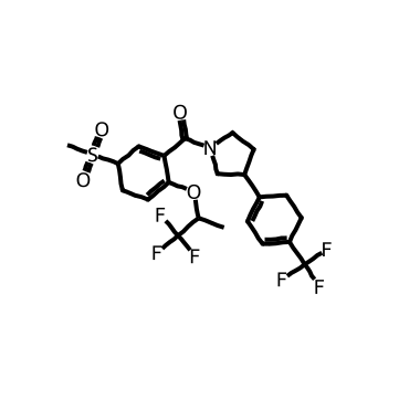 CC(OC1=CCC(S(C)(=O)=O)C=C1C(=O)N1CCC(C2=CC=C(C(F)(F)F)CC2)C1)C(F)(F)F